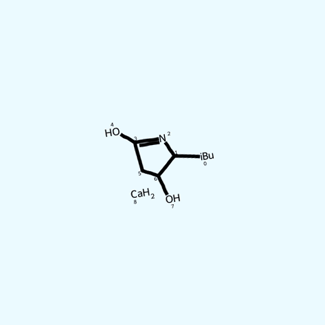 CCC(C)C1N=C(O)CC1O.[CaH2]